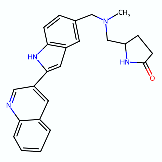 CN(Cc1ccc2[nH]c(-c3cnc4ccccc4c3)cc2c1)CC1CCC(=O)N1